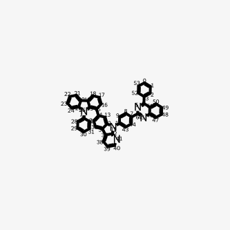 c1ccc(-c2nc(-c3ccc(-n4c5cc(-c6cccc7c8ccccc8n(-c8ccccc8)c67)ccc5c5cccnc54)cc3)nc3ccccc23)cc1